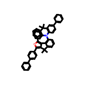 CC1(C)c2ccccc2N(c2cccc3c2-c2c(-c4ccccc4)oc(-c4ccc(-c5ccccc5)cc4)c2C3(C)C)c2ccc(-c3ccccc3)cc21